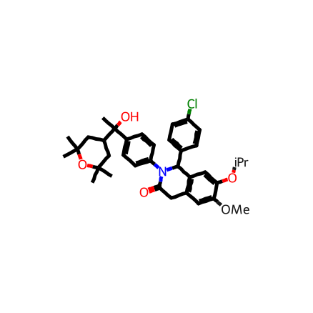 COc1cc2c(cc1OC(C)C)C(c1ccc(Cl)cc1)N(c1ccc(C(C)(O)C3CC(C)(C)OC(C)(C)C3)cc1)C(=O)C2